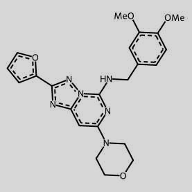 COc1ccc(CNc2nc(N3CCOCC3)cc3nc(-c4ccco4)nn23)cc1OC